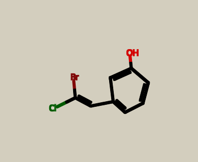 Oc1cccc(C=C(Cl)Br)c1